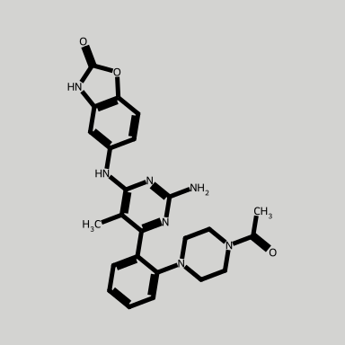 CC(=O)N1CCN(c2ccccc2-c2nc(N)nc(Nc3ccc4oc(=O)[nH]c4c3)c2C)CC1